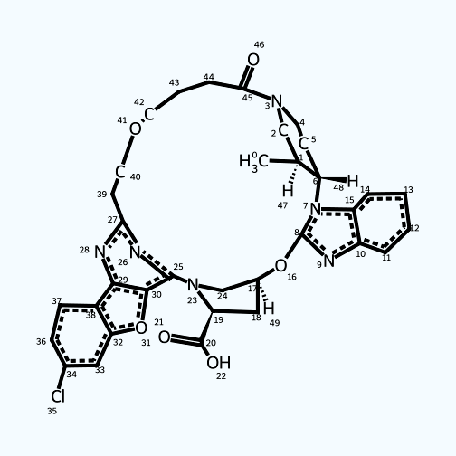 C[C@H]1CN2CC[C@@H]1n1c(nc3ccccc31)O[C@H]1C[C@@H](C(=O)O)N(C1)c1nc(nc3c1oc1cc(Cl)ccc13)CCOCCCC2=O